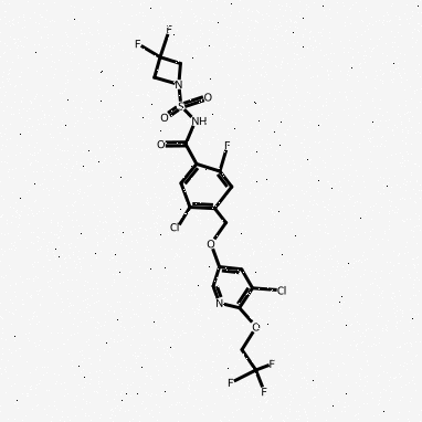 O=C(NS(=O)(=O)N1CC(F)(F)C1)c1cc(Cl)c(COc2cnc(OCC(F)(F)F)c(Cl)c2)cc1F